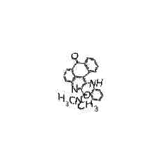 CN(C)C(=O)c1nc2cccc3c2c(c1Nc1ccccc1)-c1ccccc1C3=O